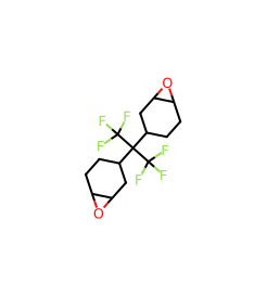 FC(F)(F)C(C1CCC2OC2C1)(C1CCC2OC2C1)C(F)(F)F